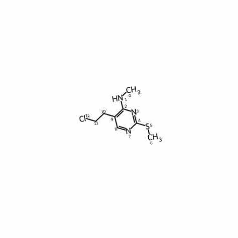 CNc1nc(SC)ncc1CCCl